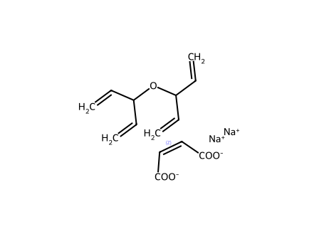 C=CC(C=C)OC(C=C)C=C.O=C([O-])/C=C\C(=O)[O-].[Na+].[Na+]